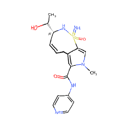 CC(O)[C@H]1C=Cc2c(cn(C)c2C(=O)Nc2ccncc2)S(=N)(=O)N1